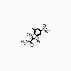 Cc1cc([N+](=O)[O-])cc2c1[s+]([O-])c(C(N)=O)[n+]2[O-]